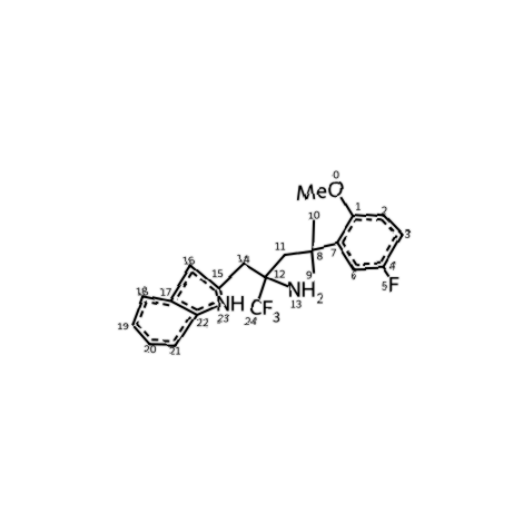 COc1ccc(F)cc1C(C)(C)CC(N)(Cc1cc2ccccc2[nH]1)C(F)(F)F